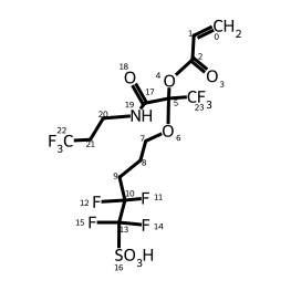 C=CC(=O)OC(OCCCC(F)(F)C(F)(F)S(=O)(=O)O)(C(=O)NCCC(F)(F)F)C(F)(F)F